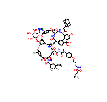 CCCS(=O)(=O)NCCCOc1ccc(NC(=O)NC(=O)C[C@@H]2CC(=O)[C@H](NC(=O)[C@H](CC)CC(C)C)[C@H](O)c3ccc(c(Cl)c3)Oc3cc4cc(c3O[C@@H]3O[C@H](CN)[C@@H](O)[C@H](O)[C@H]3O)Oc3ccc(cc3Cl)[C@@H](O)[C@@H]3NC(=O)[C@H](CC(=O)[C@@H]4NC2=O)c2ccc4c(c2)-c2c(cc(O)cc2C4(O)O)[C@@H](C(=O)CC2C4CC5CC(C4)CC2C5)NC3=O)cc1